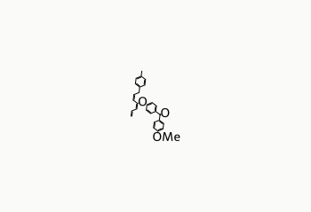 C=C/C=C(\C=C/Cc1ccc(C)cc1)Oc1ccc(C(=O)c2ccc(OC)cc2)cc1